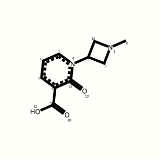 CN1CC(n2cccc(C(=O)O)c2=O)C1